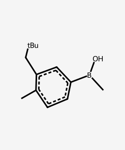 CB(O)c1ccc(C)c(CC(C)(C)C)c1